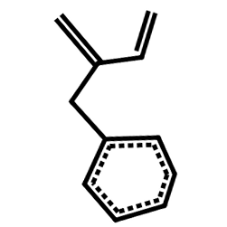 C=CC(=C)Cc1ccccc1